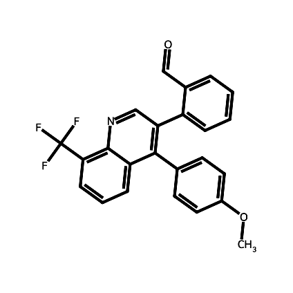 COc1ccc(-c2c(-c3ccccc3C=O)cnc3c(C(F)(F)F)cccc23)cc1